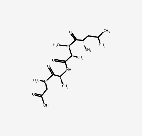 CC(C)C[C@H](N)C(=O)N(C)[C@@H](C)C(=O)N[C@@H](C)C(=O)N(C)CC(=O)O